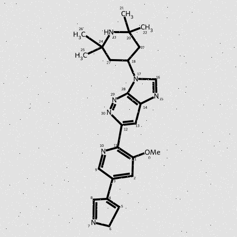 COc1cc(C2=CCN=C2)cnc1-c1cc2ncn(C3CC(C)(C)NC(C)(C)C3)c2nn1